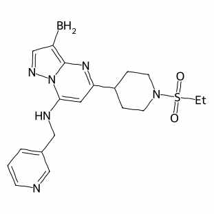 Bc1cnn2c(NCc3cccnc3)cc(C3CCN(S(=O)(=O)CC)CC3)nc12